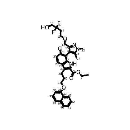 CCOC(=O)c1[nH]c2c(-c3c(COCCC(F)(F)CO)nn(C)c3C)c(Cl)ccc2c1CCCOc1cccc2ccccc12